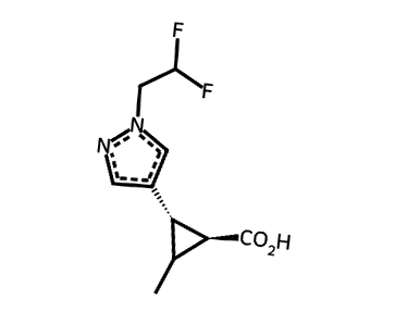 CC1[C@H](C(=O)O)[C@H]1c1cnn(CC(F)F)c1